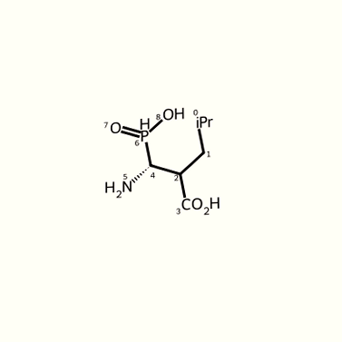 CC(C)CC(C(=O)O)[C@H](N)[PH](=O)O